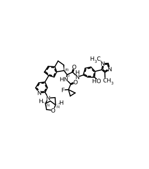 Cc1ncn(C)c1-c1ccc(NC(=O)[C@@H](NC(=O)C2(F)CC2)[C@@H]2CCc3ccc(-c4ccnc(N5C[C@@H]6C[C@H]5CO6)c4)cc32)cc1O